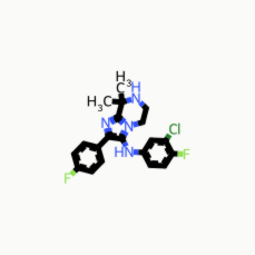 CC1(C)NCCn2c1nc(-c1ccc(F)cc1)c2Nc1ccc(F)c(Cl)c1